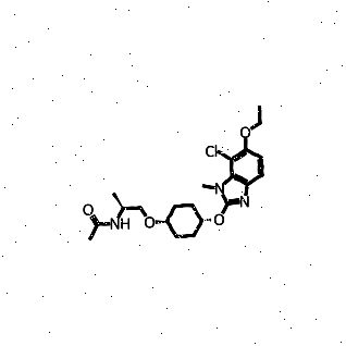 CCOc1ccc2nc(O[C@H]3CC[C@H](OC[C@H](C)NC(C)=O)CC3)n(C)c2c1Cl